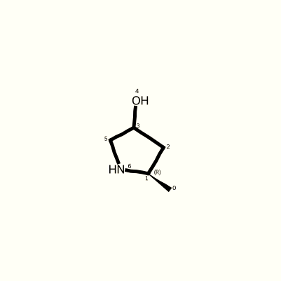 C[C@@H]1CC(O)CN1